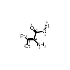 CCOC(=O)C(N)=C(CC)CC